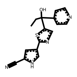 CCC(O)(c1ccncc1)c1cnc(-c2c[nH]c(C#N)c2)s1